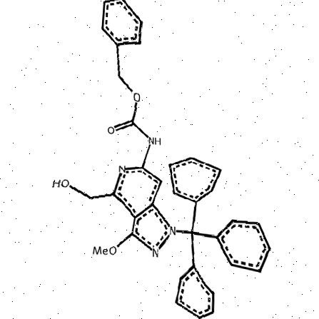 COc1nn(C(c2ccccc2)(c2ccccc2)c2ccccc2)c2cc(NC(=O)OCc3ccccc3)nc(CO)c12